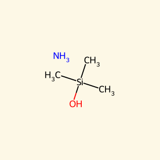 C[Si](C)(C)O.N